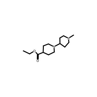 CCOC(=O)C1CCN(C2CCN(C)CC2)CC1